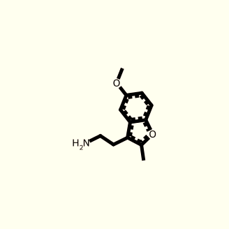 COc1ccc2oc(C)c(CCN)c2c1